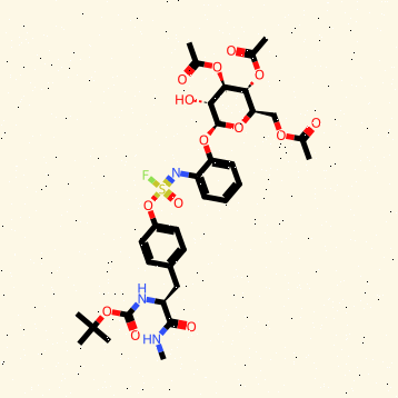 CNC(=O)[C@H](Cc1ccc(OS(=O)(F)=Nc2ccccc2O[C@@H]2O[C@H](COC(C)=O)[C@@H](OC(C)=O)[C@H](OC(C)=O)[C@H]2O)cc1)NC(=O)OC(C)(C)C